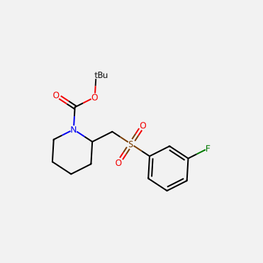 CC(C)(C)OC(=O)N1CCCCC1CS(=O)(=O)c1cccc(F)c1